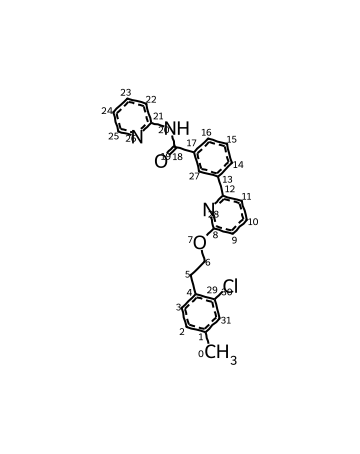 Cc1ccc(CCOc2cccc(-c3cccc(C(=O)Nc4ccccn4)c3)n2)c(Cl)c1